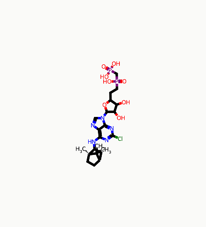 CC1(C)C2CC[C@@]1(C)C(Nc1nc(Cl)nc3c1ncn3C1OC(CCP(=O)(O)CP(=O)(O)O)C(O)C1O)C2